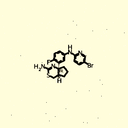 NC1=N[C@@]2(c3cc(Nc4ccc(Br)cn4)ccc3F)CCC[C@H]2CS1